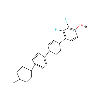 CCOc1ccc(C2C=CC(c3ccc(C4CCC(C)CC4)cc3)CC2)c(F)c1F